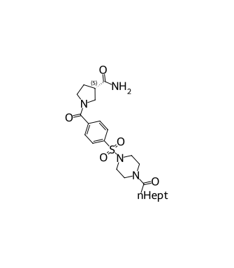 CCCCCCCC(=O)N1CCN(S(=O)(=O)c2ccc(C(=O)N3CC[C@H](C(N)=O)C3)cc2)CC1